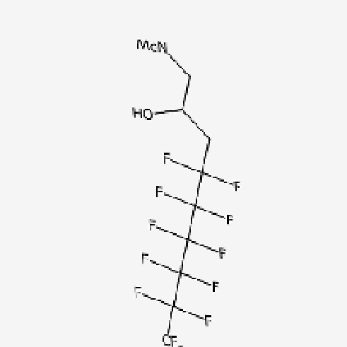 CNCC(O)CC(F)(F)C(F)(F)C(F)(F)C(F)(F)C(F)(F)C(F)(F)F